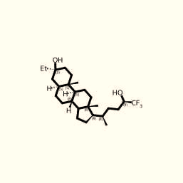 CC[C@]1(O)CC[C@@]2(C)[C@@H](CC[C@H]3C4CC[C@H]([C@H](C)CC[C@@H](O)C(F)(F)F)[C@@]4(C)CC[C@@H]32)C1